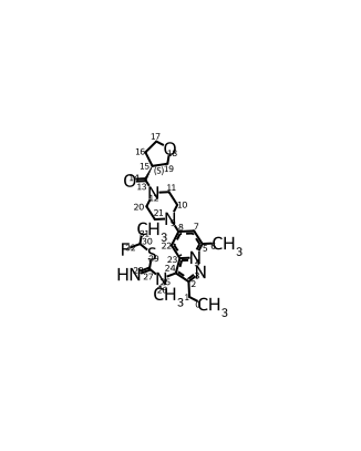 CCc1nn2c(C)cc(N3CCN(C(=O)[C@H]4CCOC4)CC3)cc2c1N(C)C(=N)SC(C)F